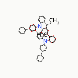 C=C/C(=C\C=C(/C)c1ccccc1N(c1ccc(-c2ccccc2)cc1)c1ccc(-c2ccccc2)cc1)c1ccccc1N(c1ccc(-c2ccccc2)cc1)c1ccc(-c2ccccc2)cc1